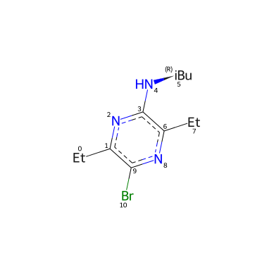 CCc1nc(N[C@H](C)CC)c(CC)nc1Br